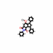 CCOC1=C2C(c3ccccc3)CC(c3ccccc3)C2C2C(=O)N(c3ccccc3)C(=O)C2C1